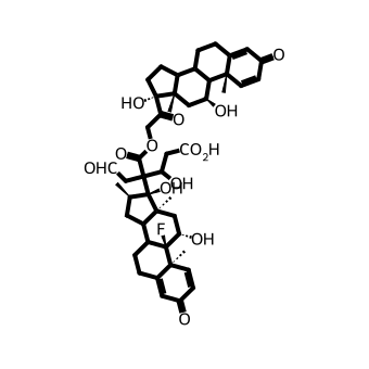 C[C@@H]1CC2C3CCC4=CC(=O)C=C[C@]4(C)[C@@]3(F)[C@@H](O)C[C@]2(C)[C@@]1(O)C(CC=O)(C(=O)OCC(=O)[C@@]1(O)CCC2C3CCC4=CC(=O)C=C[C@]4(C)C3[C@@H](O)C[C@@]21C)C(O)CC(=O)O